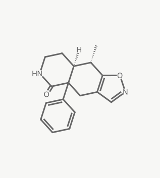 C[C@@H]1c2oncc2CC2(c3ccccc3)C(=O)NCC[C@@H]12